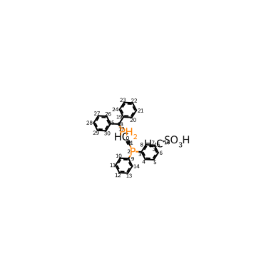 C#CP(c1ccccc1)c1ccccc1.CS(=O)(=O)O.PC(c1ccccc1)c1ccccc1